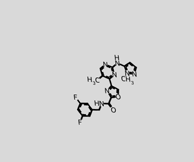 Cc1cnc(Nc2ccnn2C)nc1-c1coc(C(=O)NCc2cc(F)cc(F)c2)n1